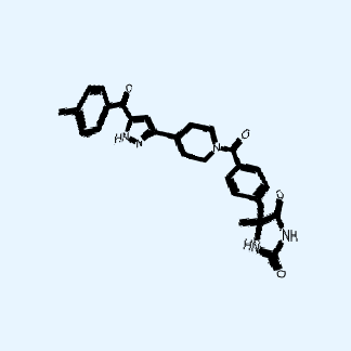 Cc1ccc(C(=O)c2cc(C3CCN(C(=O)c4ccc(C5(C)NC(=O)NC5=O)cc4)CC3)n[nH]2)cc1